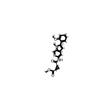 COC(=O)[C@@H]1C[C@@H]1C(=O)Nc1cc2cc(-c3ccccc3OC)n(C)c2cn1